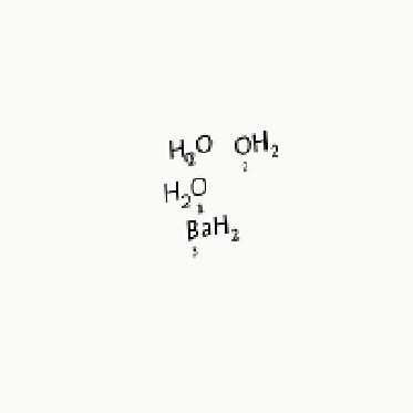 O.O.O.[BaH2]